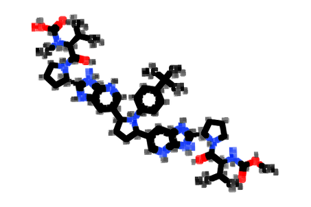 COC(=O)N[C@H](C(=O)N1CCC[C@H]1c1nc2cc(C3CCC(c4cnc5[nH]c([C@@H]6CCCN6C(=O)[C@H](C(C)C)N(C)C(=O)O)nc5c4)N3c3ccc(C(C)(C)C)cc3)cnc2[nH]1)C(C)C